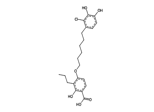 CCCc1c(OCCCCCCc2ccc(O)c(O)c2Cl)ccc(C(=O)O)c1O